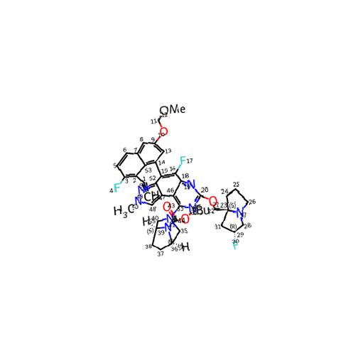 C#Cc1c(F)ccc2cc(OCOC)cc(-c3c(F)c4nc(OC[C@@]56CCCN5C[C@H](F)C6)nc(N5C[C@H]6CC[C@@H](C5)N6C(=O)OC(C)(C)C)c4c4cn(C)nc34)c12